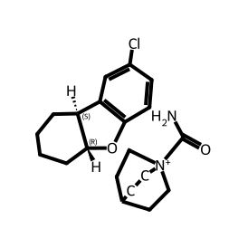 Clc1ccc2c(c1)[C@@H]1CCCC[C@H]1O2.NC(=O)[N+]12CCC(CC1)CC2